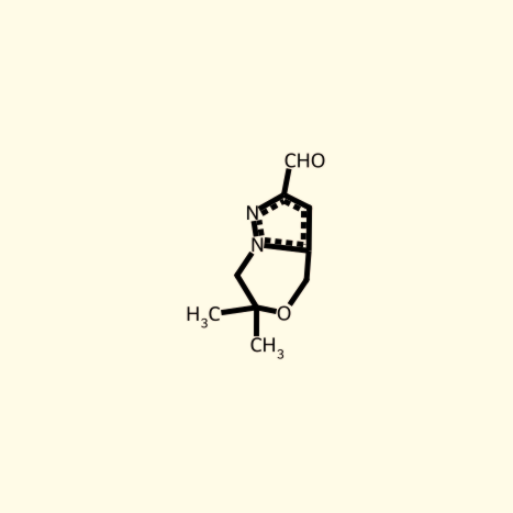 CC1(C)Cn2nc(C=O)cc2CO1